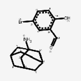 NC12CC3CC(CC(C3)C1)C2.O=Cc1cc(Br)ccc1O